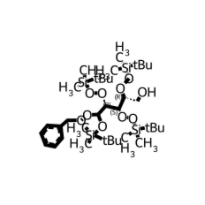 CC(C)(C)[Si](C)(C)OO[C@@H]([C@@H](CO)OO[Si](C)(C)C(C)(C)C)[C@@H](OO[Si](C)(C)C(C)(C)C)C(OOCc1ccccc1)O[Si](C)(C)C(C)(C)C